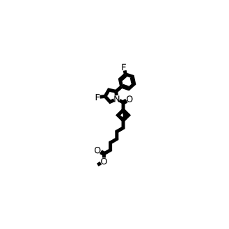 COC(=O)CCCCCC12CC(C(=O)N3CC(F)CC3c3cccc(F)c3)(C1)C2